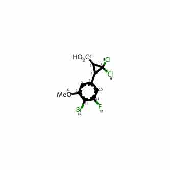 COc1cc(C2C(C(=O)O)C2(Cl)Cl)cc(F)c1Br